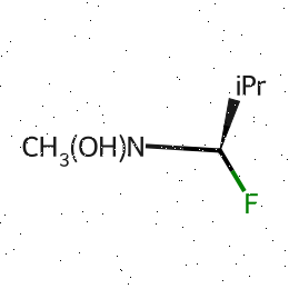 CC(C)[C@@H](F)N(C)O